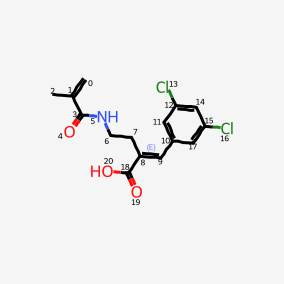 C=C(C)C(=O)NCC/C(=C\c1cc(Cl)cc(Cl)c1)C(=O)O